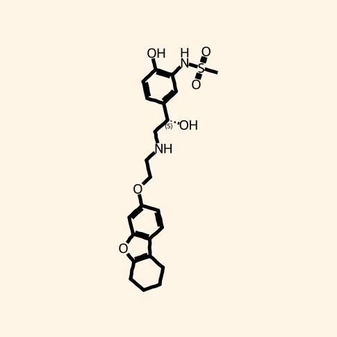 CS(=O)(=O)Nc1cc([C@H](O)CNCCOc2ccc3c4c(oc3c2)CCCC4)ccc1O